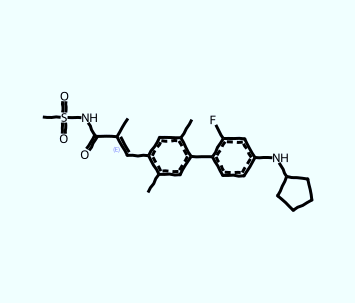 C/C(=C\c1cc(C)c(-c2ccc(NC3CCCC3)cc2F)cc1C)C(=O)NS(C)(=O)=O